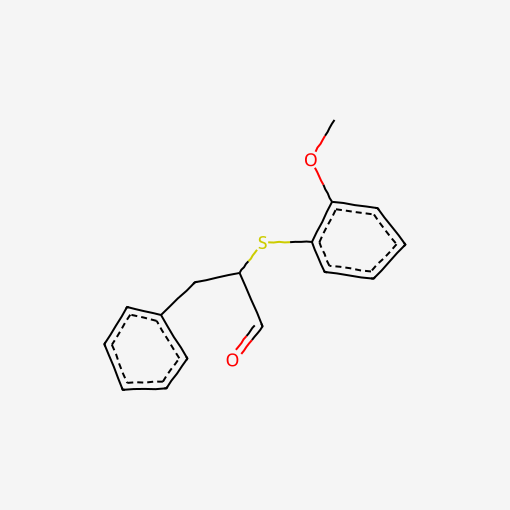 COc1ccccc1SC(C=O)Cc1ccccc1